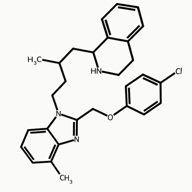 Cc1cccc2c1nc(COc1ccc(Cl)cc1)n2CCC(C)CC1NCCc2ccccc21